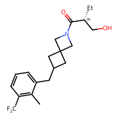 CC[C@H](CO)C(=O)N1CC2(CC(Cc3cccc(C(F)(F)F)c3C)C2)C1